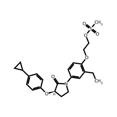 CCc1cc(N2CC[C@@H](Oc3ccc(C4CC4)cc3)C2=O)ccc1OCCOS(C)(=O)=O